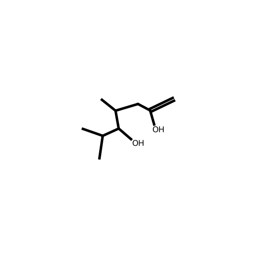 C=C(O)CC(C)C(O)C(C)C